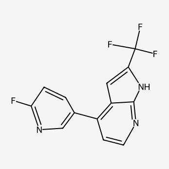 Fc1ccc(-c2ccnc3[nH]c(C(F)(F)F)cc23)cn1